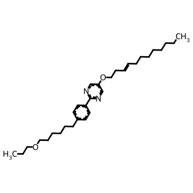 CCCCCCCCC=CCCOc1cnc(-c2ccc(CCCCCCOCCC)cc2)nc1